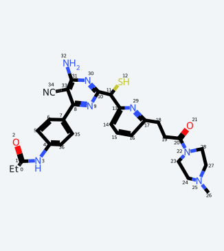 CCC(=O)Nc1ccc(-c2nc(C(S)c3cccc(CCC(=O)N4CCN(C)CC4)n3)nc(N)c2C#N)cc1